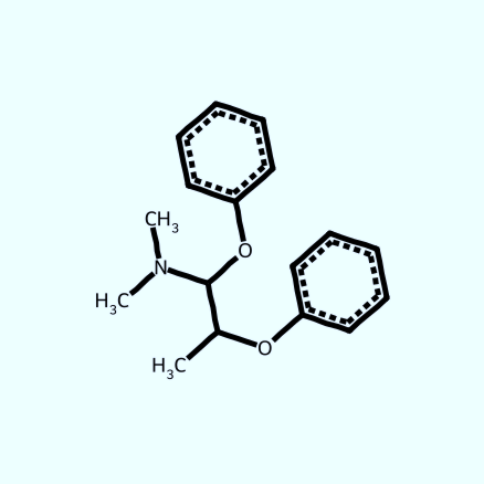 CC(Oc1ccccc1)C(Oc1ccccc1)N(C)C